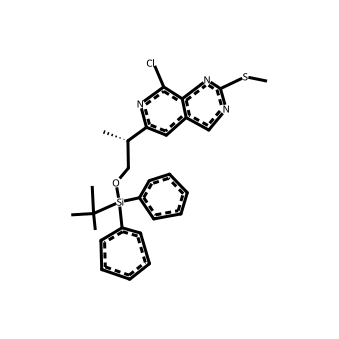 CSc1ncc2cc([C@@H](C)CO[Si](c3ccccc3)(c3ccccc3)C(C)(C)C)nc(Cl)c2n1